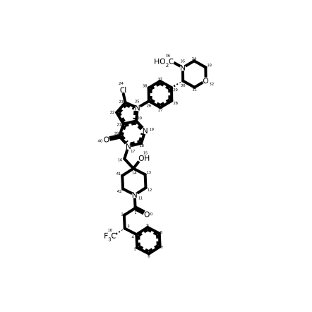 O=C(C[C@H](c1ccccc1)C(F)(F)F)N1CCC(O)(Cn2cnc3c(cc(Cl)n3-c3ccc([C@H]4COCCN4C(=O)O)cc3)c2=O)CC1